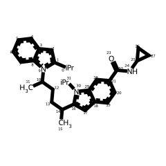 CC(C)c1cc2ccccc2n1C(C)CCC(C)c1cc2ccc(C(=O)NC3CC3)cc2n1C(C)C